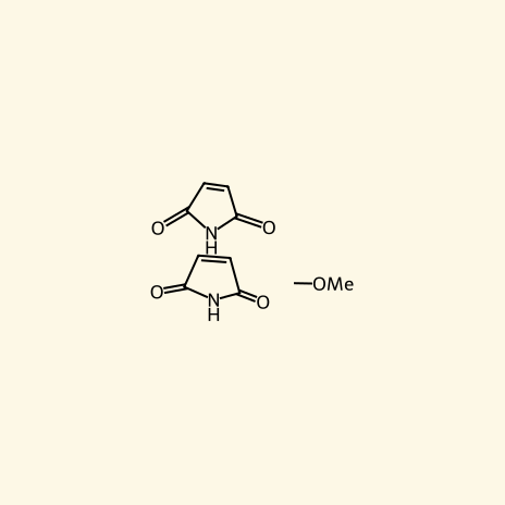 COC.O=C1C=CC(=O)N1.O=C1C=CC(=O)N1